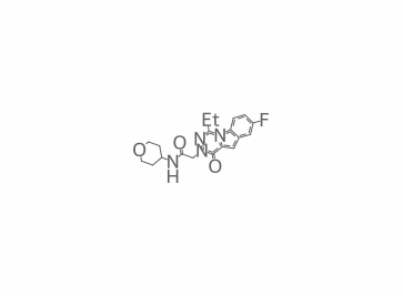 CCc1nn(CC(=O)NC2CCOCC2)c(=O)c2cc3cc(F)ccc3n12